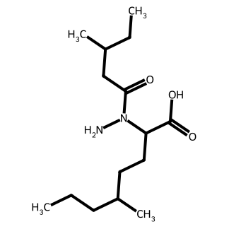 CCCC(C)CCC(C(=O)O)N(N)C(=O)CC(C)CC